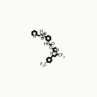 O=C(Nc1cccc(S(=O)(=O)NCc2ccccn2)c1)Oc1cnn2c(C(F)(F)F)cc(-c3ccc(C(F)(F)F)cc3)nc12